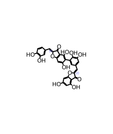 O=C1/C(=C/c2cc(O)c(O)c(-c3c(O)cc4c(c3O)C(=O)/C(=C/c3ccc(O)c(O)c3)O4)c2)Oc2cc(O)cc(O)c21